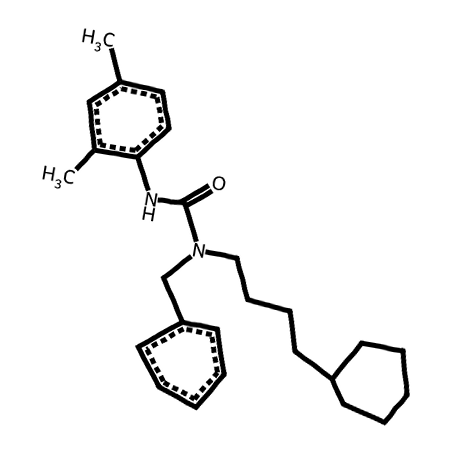 Cc1ccc(NC(=O)N(CCCCC2CCCCC2)Cc2ccccc2)c(C)c1